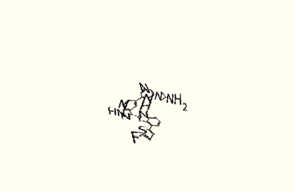 NC1CN(c2cncc(-c3cnc4[nH]nc(-c5cc6c(-c7ccc(F)s7)cccc6[nH]5)c4c3)n2)C1